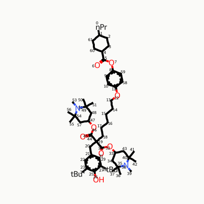 CCCC1CCC(C(=O)Oc2ccc(OCCCCCCC(Cc3cc(C(C)(C)C)c(O)c(C(C)(C)C)c3)(C(=O)OC3CC(C)(C)N(C)C(C)(C)C3)C(=O)OC3CC(C)(C)N(C)C(C)(C)C3)cc2)CC1